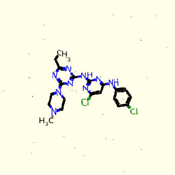 CCc1nc(Nc2nc(Cl)cc(Nc3ccc(Cl)cc3)n2)nc(N2CCN(C)CC2)n1